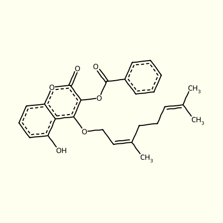 CC(C)=CCCC(C)=CCOc1c(OC(=O)c2ccccc2)c(=O)oc2cccc(O)c12